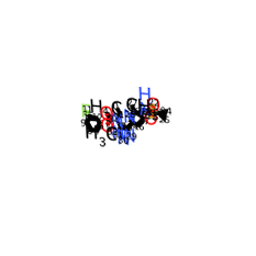 CCN(C(=O)Oc1cccc(F)c1)c1c(-c2ccc(NS(=O)(=O)C3CC3)c(C)n2)nnn1C